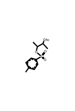 CC(=O)OC(C)C(C)OS(=O)(=O)c1ccc(C)cc1